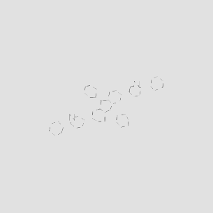 c1ccc(-c2ccc(-c3ccc4c(-c5ccccc5)c5cc(-c6ccc(-c7ccccc7)nc6)ccc5c(-c5ccccc5)c4c3)cn2)cc1